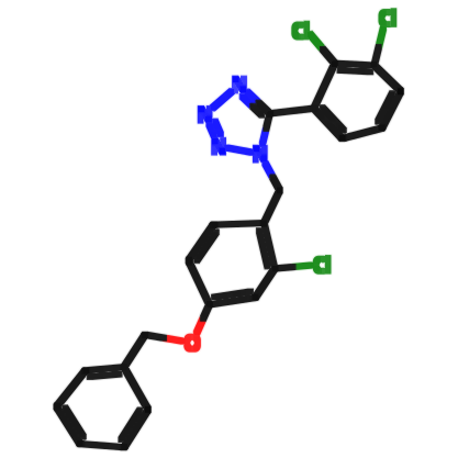 Clc1cc(OCc2ccccc2)ccc1Cn1nnnc1-c1cccc(Cl)c1Cl